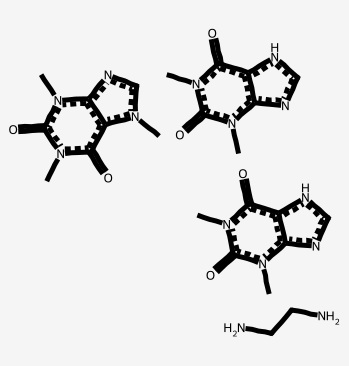 Cn1c(=O)c2[nH]cnc2n(C)c1=O.Cn1c(=O)c2[nH]cnc2n(C)c1=O.Cn1c(=O)c2c(ncn2C)n(C)c1=O.NCCN